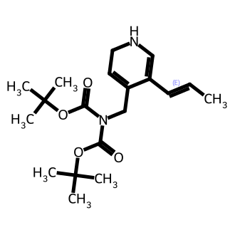 C/C=C/C1=CNCC=C1CN(C(=O)OC(C)(C)C)C(=O)OC(C)(C)C